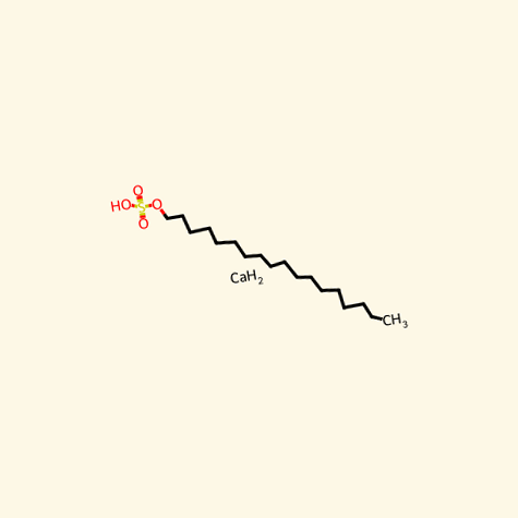 CCCCCCCCCCCCCCCCCCOS(=O)(=O)O.[CaH2]